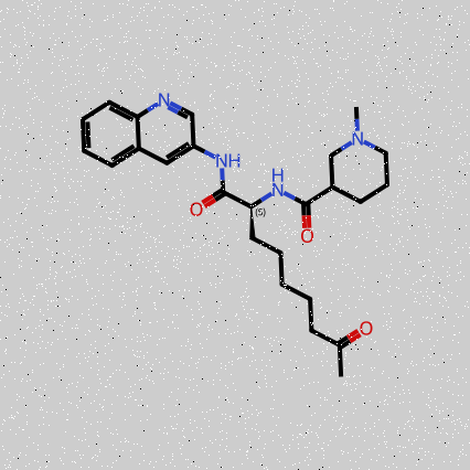 CC(=O)CCCCC[C@H](NC(=O)C1CCCN(C)C1)C(=O)Nc1cnc2ccccc2c1